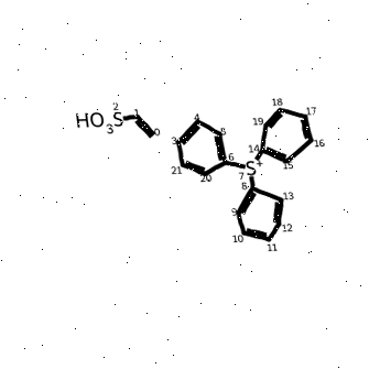 C=CS(=O)(=O)O.c1ccc([S+](c2ccccc2)c2ccccc2)cc1